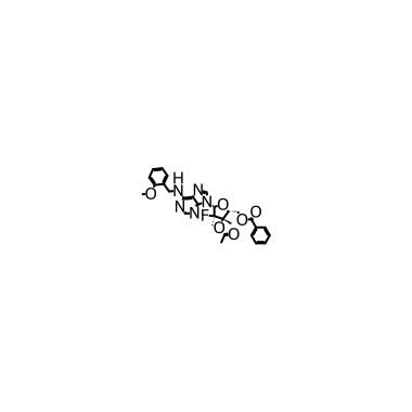 COc1ccccc1CNc1ncnc2c1ncn2[C@@H]1O[C@H](COC(=O)c2ccccc2)[C@](C)(OC(C)=O)[C@@]1(C)F